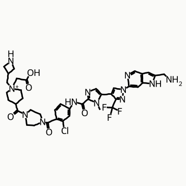 Cn1c(-c2cn(-c3cc4[nH]c(CN)cc4cn3)nc2C(F)(F)F)cnc1C(=O)Nc1ccc(C(=O)N2CCN(C(=O)C3CC[N+](CC(=O)O)(CC4CNC4)CC3)CC2)c(Cl)c1